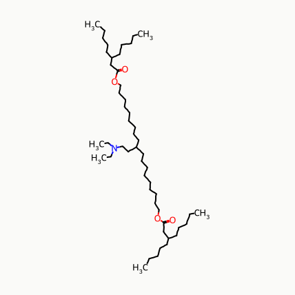 CCCCCC(CCCCC)CC(=O)OCCCCCCCCCC(CCCCCCCCCOC(=O)CC(CCCCC)CCCCC)CCN(CC)CC